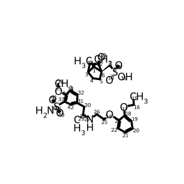 CC1(C)C2CC[C@@]1(CS(=O)(=O)O)C(=O)C2.CCOc1ccccc1OCCN[C@H](C)Cc1ccc(OC)c(S(N)(=O)=O)c1